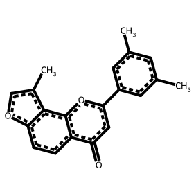 Cc1cc(C)cc(-c2cc(=O)c3ccc4occ(C)c4c3o2)c1